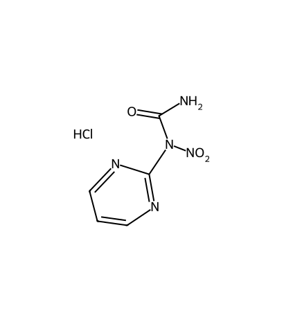 Cl.NC(=O)N(c1ncccn1)[N+](=O)[O-]